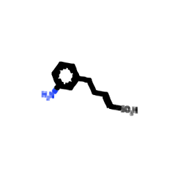 Nc1cccc(CCC=CS(=O)(=O)O)c1